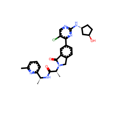 Cc1cccc([C@@H](C)NC(=O)[C@@H](C)N2Cc3ccc(-c4nc(N[C@@H]5CC[C@@H](O)C5)ncc4Cl)cc3C2=O)n1